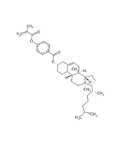 C=C(C)C(=O)Oc1ccc(C(=O)O[C@H]2CC[C@@]3(C)C(=CC[C@H]4[C@@H]5CC[C@H]([C@H](C)CCCC(C)C)[C@@]5(C)CC[C@@H]43)C2)cc1